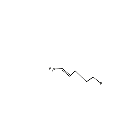 N/C=C/CCCF